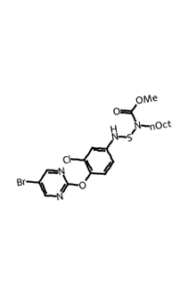 CCCCCCCCN(SNc1ccc(Oc2ncc(Br)cn2)c(Cl)c1)C(=O)OC